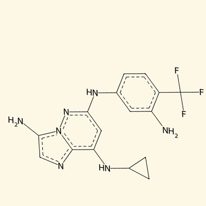 Nc1cc(Nc2cc(NC3CC3)c3ncc(N)n3n2)ccc1C(F)(F)F